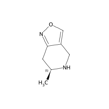 C[C@H]1Cc2nocc2CN1